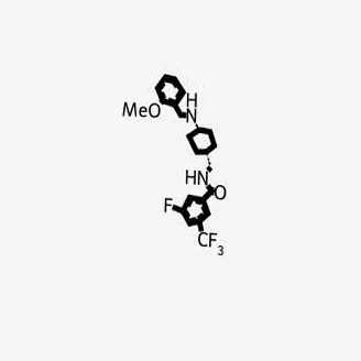 COc1ccccc1CN[C@H]1CC[C@@H](CNC(=O)c2cc(F)cc(C(F)(F)F)c2)CC1